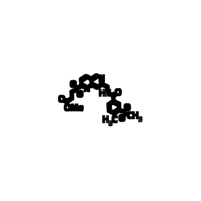 COC(=O)CCS(=O)(=O)c1ccc2cnc(CNC(=O)c3ccc(C)c(S(C)(=O)=O)c3)cc2n1